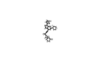 C[C@@H]1COCCN1c1cc(C#CC(=O)N2CC3(CCCNC3)C2)c2cnn(-c3cc[nH]n3)c2n1